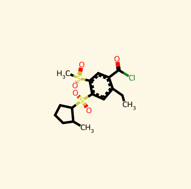 CCc1cc(S(=O)(=O)C2CCCC2C)c(S(C)(=O)=O)cc1C(=O)Cl